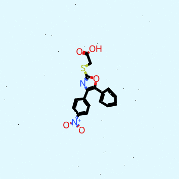 O=C(O)CSc1nc(-c2ccc([N+](=O)[O-])cc2)c(-c2ccccc2)o1